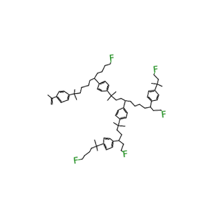 C=C(C)c1ccc(C(C)(C)CCCCC(CCCCF)c2ccc(C(C)(C)CCC(CCCCC(CCF)c3ccc(C(C)(C)CCF)cc3)c3ccc(C(C)(C)CCC(CCF)c4ccc(C(C)(C)CCCCF)cc4)cc3)cc2)cc1